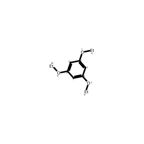 CCOc1[c]c(OCC)cc(OCC)[c]1